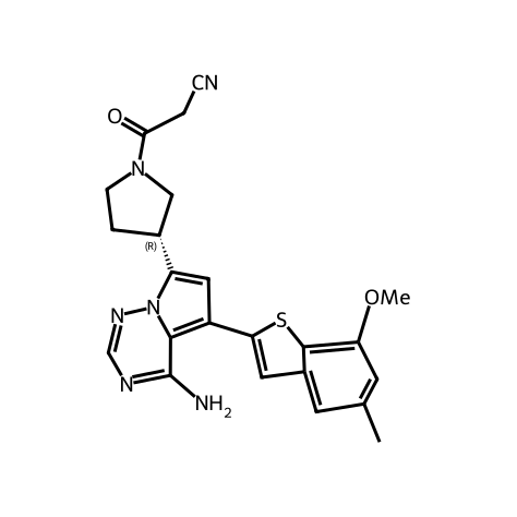 COc1cc(C)cc2cc(-c3cc([C@@H]4CCN(C(=O)CC#N)C4)n4ncnc(N)c34)sc12